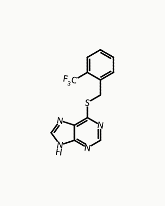 FC(F)(F)c1ccccc1CSc1ncnc2[nH]cnc12